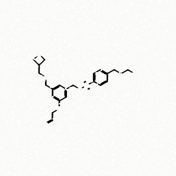 C=CCOc1cc(CNCC2CNC2)cc(CNS(=O)(=O)c2ccc(CCCC)cc2)c1